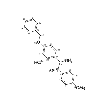 COc1ccc(C(=O)C(N)c2ccc(OCc3ccccc3)cc2)cc1.Cl